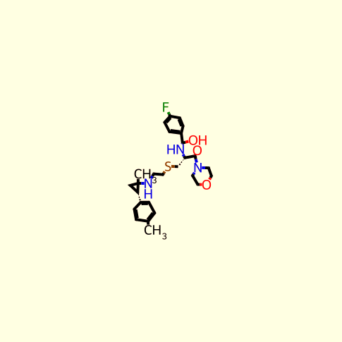 Cc1ccc([C@@H]2CC2(C)NCCSC[C@H](NC(O)c2ccc(F)cc2)C(=O)N2CCOCC2)cc1